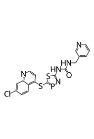 O=C(NCc1cccnc1)Nc1npc(Sc2ccnc3cc(Cl)ccc23)s1